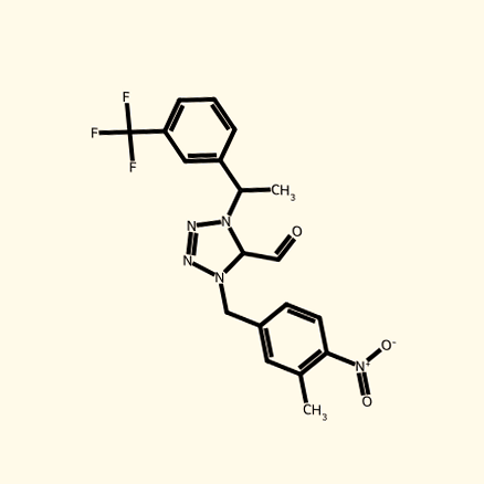 Cc1cc(CN2N=NN(C(C)c3cccc(C(F)(F)F)c3)C2C=O)ccc1[N+](=O)[O-]